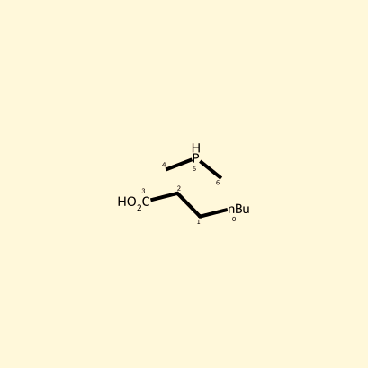 CCCCCCC(=O)O.CPC